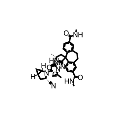 CNC(=O)c1ccc2c(c1)CCc1cc(C(=O)NC)ccc1C2(C[C@@H](C)NCC(=O)N1[C@H](C#N)C[C@@H]2C[C@@H]21)c1nn(C(C)C)c(=O)[nH]1